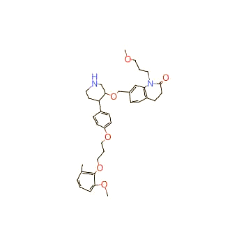 COCCCN1C(=O)CCc2ccc(COC3CNCCC3c3ccc(OCCCOc4c(C)cccc4OC)cc3)cc21